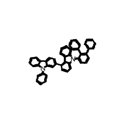 c1ccc(-c2cccc(-n3c4ccccc4c4c(-c5ccc6c7ccccc7n(-c7ccccc7)c6c5)cccc43)c2-c2ccccc2)cc1